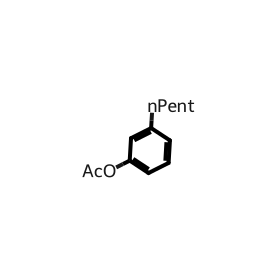 CCCCCc1cccc(OC(C)=O)c1